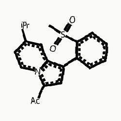 CC(=O)c1cc(-c2ccccc2S(C)(=O)=O)c2cc(C(C)C)ccn12